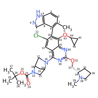 Cc1ccc2[nH]ncc2c1-c1c(Cl)cc2c(N3CC4CC3CN4C(=O)OC(C)(C)C)nc(OC[C@@H]3CCCN3C)nc2c1OC1CC1